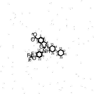 COC(=O)c1ccc(CN(C(=O)Nc2ccc(OC(F)(F)F)cc2)[C@H]2CC[C@@H](C3CCCCC3)CC2)cc1